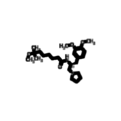 COc1ccc(C[C@@H](CN2CCCC2)NC(=O)CCCCCC(C)(C)OC)cc1OC